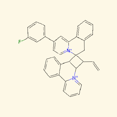 C=CC1C2C(c3ccccc3-c3cccc[n+]32)C12Cc1ccccc1-c1cc(-c3cccc(F)c3)cc[n+]12